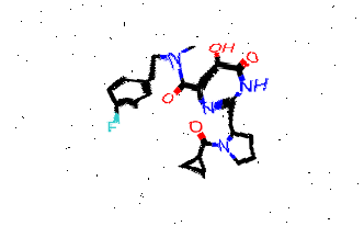 CN(Cc1ccc(F)cc1)C(=O)c1nc(C2CCCN2C(=O)C2CC2)[nH]c(=O)c1O